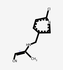 C/C(=C\C#N)NCc1ccc(Cl)nc1